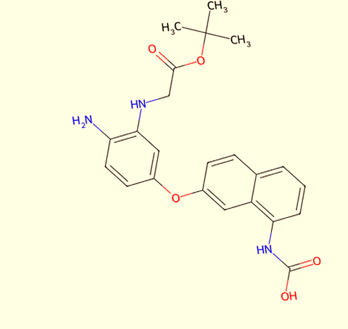 CC(C)(C)OC(=O)CNc1cc(Oc2ccc3cccc(NC(=O)O)c3c2)ccc1N